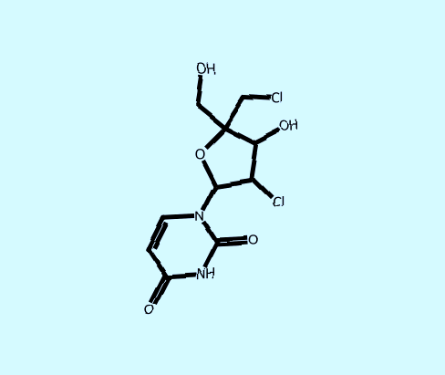 O=c1ccn(C2OC(CO)(CCl)C(O)C2Cl)c(=O)[nH]1